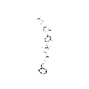 CC(=O)NC[C@H]1CN(c2ccc(C3[C@H]4CN(C(=O)COCc5ccccc5)C[C@@H]34)c(F)c2)C(=O)O1